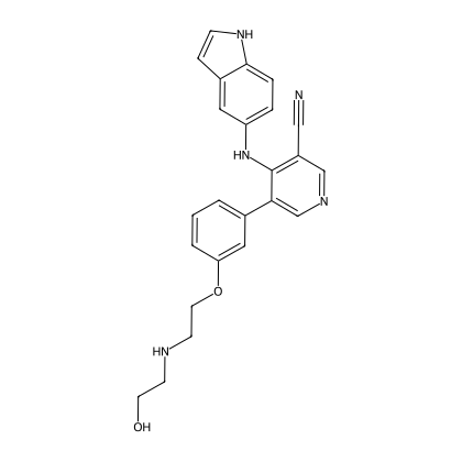 N#Cc1cncc(-c2cccc(OCCNCCO)c2)c1Nc1ccc2[nH]ccc2c1